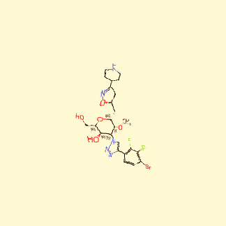 CO[C@@H]1[C@@H](n2cc(-c3ccc(Br)c(F)c3F)nn2)[C@@H](O)[C@@H](CO)O[C@@H]1CC1CC(C2CCNCC2)=NO1